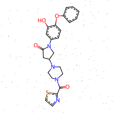 O=C(c1nccs1)N1CCN(C2CC(=O)N(c3ccc(Oc4ccccc4)c(O)c3)C2)CC1